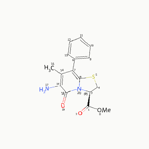 COC(=O)[C@@H]1CSc2c(-c3ccccc3)c(C)c(N)c(=O)n21